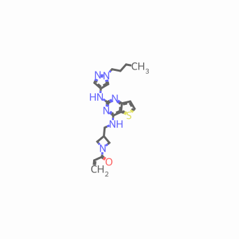 C=CC(=O)N1CC(CNc2nc(Nc3cnn(CCCC)c3)nc3ccsc23)C1